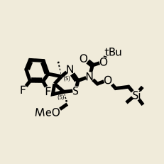 COC[C@]12CC1[C@@](C)(c1cccc(F)c1F)N=C(N(COCC[Si](C)(C)C)C(=O)OC(C)(C)C)S2